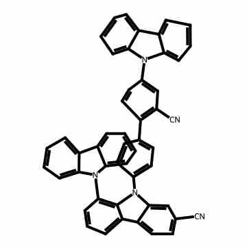 N#Cc1ccc2c3cccc(-n4c5ccccc5c5ccccc54)c3n(-c3ccc(-c4ccc(-n5c6ccccc6c6ccccc65)cc4C#N)cc3)c2c1